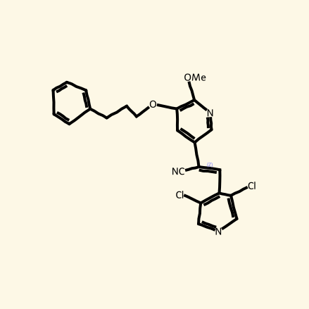 COc1ncc(/C(C#N)=C/c2c(Cl)cncc2Cl)cc1OCCCc1ccccc1